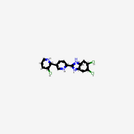 Clc1cc2nc(-c3ccc(-c4ncccc4Cl)cn3)[nH]c2cc1Cl